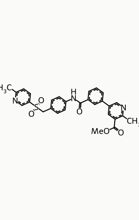 COC(=O)c1cc(-c2cccc(C(=O)Nc3ccc(CS(=O)(=O)c4ccc(C)nc4)cc3)c2)cnc1C